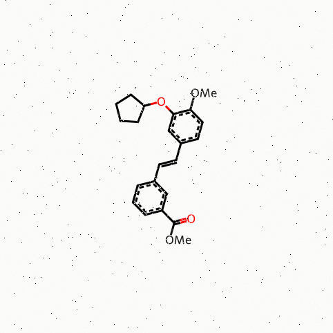 COC(=O)c1cccc(C=Cc2ccc(OC)c(OC3CCCC3)c2)c1